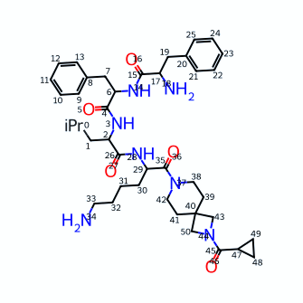 CC(C)CC(NC(=O)C(Cc1ccccc1)NC(=O)C(N)Cc1ccccc1)C(=O)NC(CCCCN)C(=O)N1CCC2(CC1)CN(C(=O)C1CC1)C2